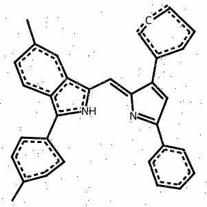 Cc1ccc(-c2[nH]c(/C=C3\N=C(c4ccccc4)C=C3c3ccccc3)c3cc(C)ccc23)cc1